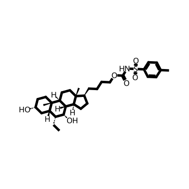 CC[C@H]1[C@@H](O)[C@@H]2[C@H](CC[C@]3(C)[C@@H](CCCCOC(=O)NS(=O)(=O)c4ccc(C)cc4)CC[C@@H]23)[C@@]2(C)CC[C@@H](O)C[C@@H]12